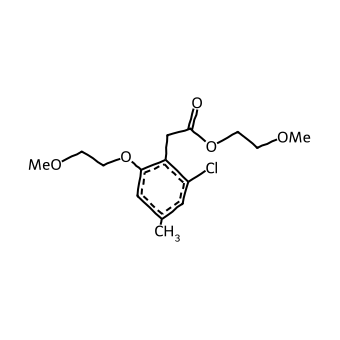 COCCOC(=O)Cc1c(Cl)cc(C)cc1OCCOC